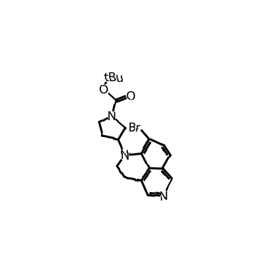 CC(C)(C)OC(=O)N1CCC(N2CCc3cncc4ccc(Br)c2c34)C1